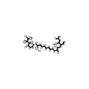 C=C=C(CC(C=C)/C(C)=C/C(C)C)C(C)CC/C=C/C=C/C=C/C(C[C@@H]1CC[C@@H](C)C(C(=O)C(C)=O)O1)OC